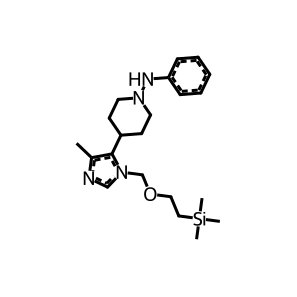 Cc1ncn(COCC[Si](C)(C)C)c1C1CCN(Nc2ccccc2)CC1